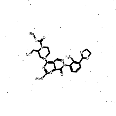 CSc1nc(N2CCN(C(=O)OC(C)(C)C)C(CC#N)C2)c2cnn(-c3cccc(C4OCCO4)c3C(F)(F)F)c(=O)c2n1